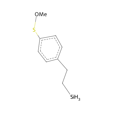 COSc1ccc(CC[SiH3])cc1